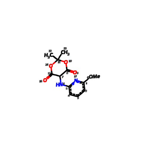 COc1cccc(NC2C(=O)OC(C)(C)OC2=O)n1